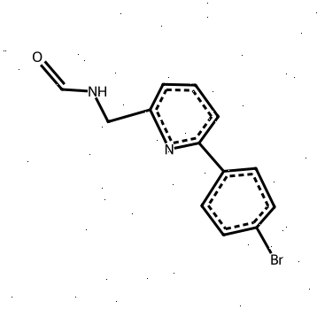 O=CNCc1cccc(-c2ccc(Br)cc2)n1